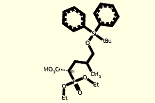 CCOP(=O)(OCC)[C@@H](CC(C)CO[Si](c1ccccc1)(c1ccccc1)C(C)(C)C)C(=O)O